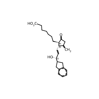 C=C1CC(=O)[C@H](CCCCCCC(=O)O)[C@H]1C=C[C@@H](O)C1Cc2ccccc2C1